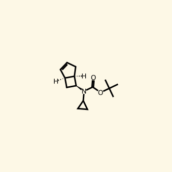 CC(C)(C)OC(=O)N(C1CC1)[C@H]1C[C@H]2C=CC[C@H]21